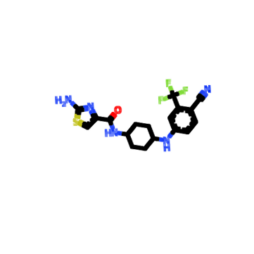 N#Cc1ccc(NC2CCC(NC(=O)c3csc(N)n3)CC2)cc1C(F)(F)F